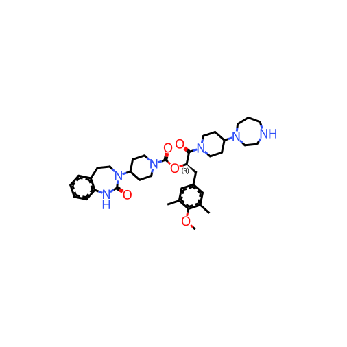 COc1c(C)cc(C[C@@H](OC(=O)N2CCC(N3CCc4ccccc4NC3=O)CC2)C(=O)N2CCC(N3CCCNCC3)CC2)cc1C